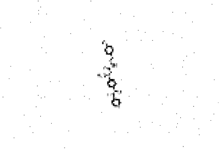 NC(CC(=O)NCCc1ccc(Cl)cc1)c1ccc(C(=O)Nc2ccncc2)cc1